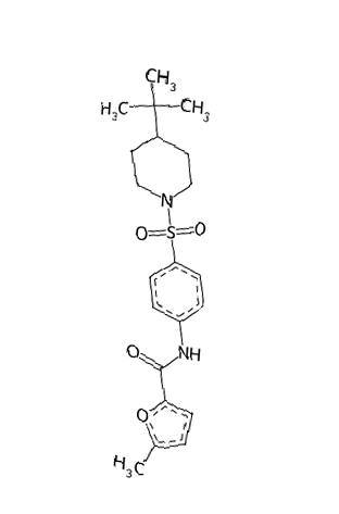 Cc1ccc(C(=O)Nc2ccc(S(=O)(=O)N3CCC(C(C)(C)C)CC3)cc2)o1